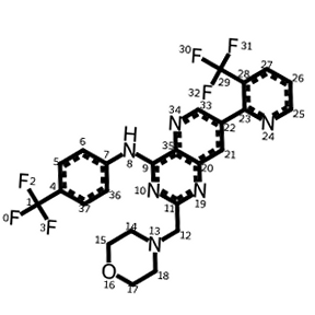 FC(F)(F)c1ccc(Nc2nc(CN3CCOCC3)nc3cc(-c4ncccc4C(F)(F)F)cnc23)cc1